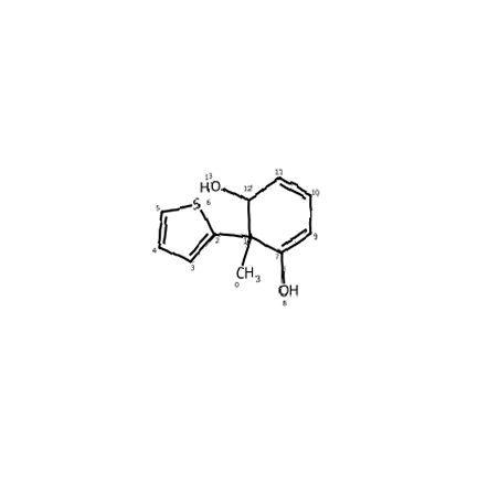 CC1(c2cccs2)C(O)=CC=CC1O